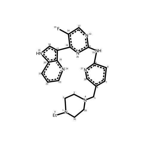 CCN1CCN(Cc2ccc(Nc3ncc(F)c(-c4c[nH]c5cccnc45)n3)nc2)CC1